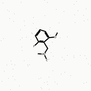 [CH2-][NH+](C)Cc1c(F)cccc1OC